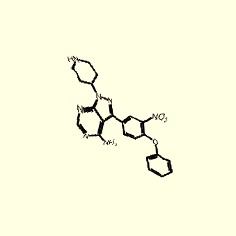 Nc1ncnc2c1c(-c1ccc(Oc3ccccc3)c([N+](=O)[O-])c1)nn2C1CCNCC1